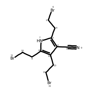 N#Cc1c(CCBr)[nH]c(CCBr)c1CCBr